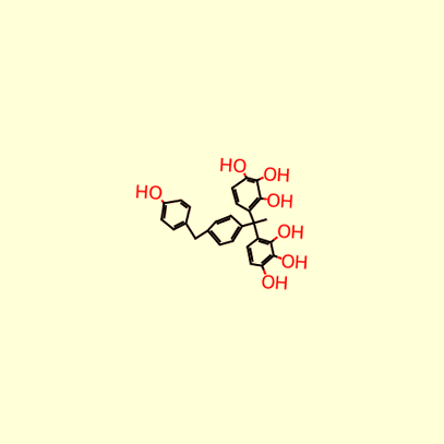 CC(c1ccc(Cc2ccc(O)cc2)cc1)(c1ccc(O)c(O)c1O)c1ccc(O)c(O)c1O